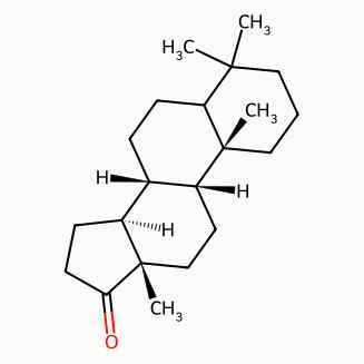 CC1(C)CCC[C@@]2(C)C1CC[C@@H]1[C@H]2CC[C@]2(C)C(=O)CC[C@@H]12